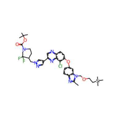 Cc1nc2ccc(Oc3ccc4ncc(-c5cnn(CC6CCN(C(=O)OC(C)(C)C)CC6(F)F)c5)nc4c3Cl)cc2n1COCC[Si](C)(C)C